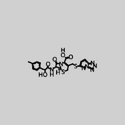 Cc1ccc(C(O)C(=O)NC2C(=O)N3C(C(=O)O)=C(CSc4ccc5nnnn5n4)CS[C@@H]23)cc1